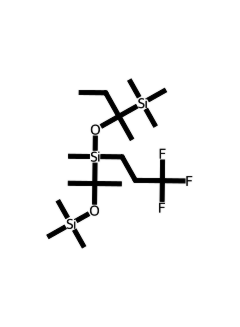 CCC(C)(O[Si](C)(CCC(F)(F)F)C(C)(C)O[Si](C)(C)C)[Si](C)(C)C